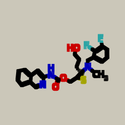 CN(Cc1cccc(F)c1F)[C@@]1(CCCO)SC1COC(=O)Nc1cc2ccccc2cn1